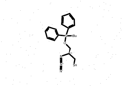 CC(C)(C)[Si](OC[C@@H](CS)N=[N+]=[N-])(c1ccccc1)c1ccccc1